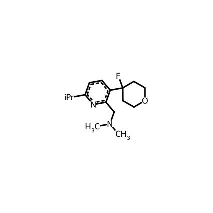 CC(C)c1ccc(C2(F)CCOCC2)c(CN(C)C)n1